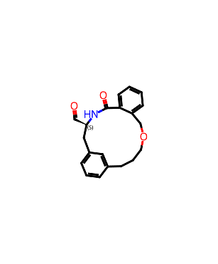 O=C[C@@H]1Cc2cccc(c2)CCCOCc2ccccc2C(=O)N1